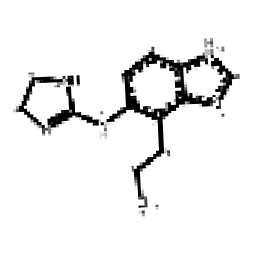 CCCc1c(NC2=NCCN2)ccc2[nH]cnc12